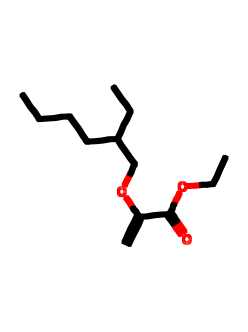 C=C(OCC(CC)CCCC)C(=O)OCC